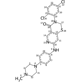 CN1CCN(c2ccc(Nc3cc4c(cn3)C(=O)N(c3cc(Cl)ccc3Cl)CS4)cc2)CC1